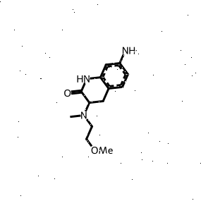 COCCN(C)C1Cc2ccc([NH])cc2NC1=O